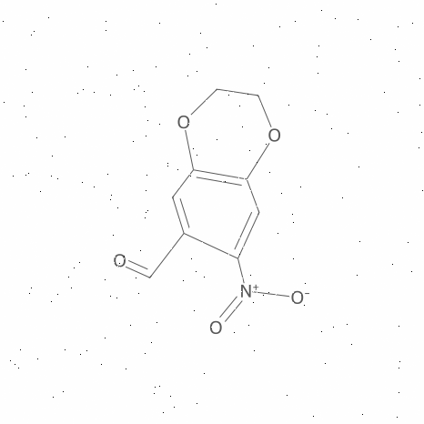 O=Cc1cc2c(cc1[N+](=O)[O-])OCCO2